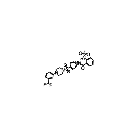 CN(c1ccccc1C(=O)Nc1ccc(S(=O)(=O)N2CCN(c3cccc(C(F)F)c3)CC2)cc1)S(C)(=O)=O